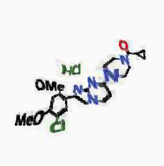 COc1cc(OC)c(-c2cn3ccc(N4CCN(C(=O)C5CC5)CC4)nc3n2)cc1Cl.Cl